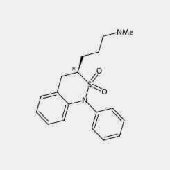 CNCCC[C@@H]1Cc2ccccc2N(c2ccccc2)S1(=O)=O